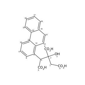 O=C(O)CC(O)(C(=O)O)C(C(=O)O)c1cccc2c1ccc1ccccc12